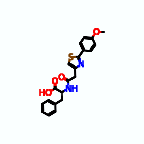 COc1ccc(-c2nc(CC(=O)N[C@@H](Cc3ccccc3)C(=O)O)cs2)cc1